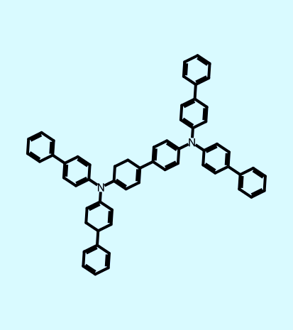 C1=CC(c2ccccc2)CC=C1N(C1=CC=C(c2ccc(N(c3ccc(-c4ccccc4)cc3)c3ccc(-c4ccccc4)cc3)cc2)CC1)c1ccc(-c2ccccc2)cc1